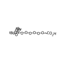 CC(C)(C)OC(=O)N(CCOCCOCCOCCOCCOCCOCC=CC(=O)O)C(=O)OC(C)(C)C